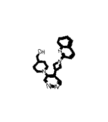 OCC1CCN(c2cnncc2C2CN(c3ccc4ccccc4n3)C2)CC1